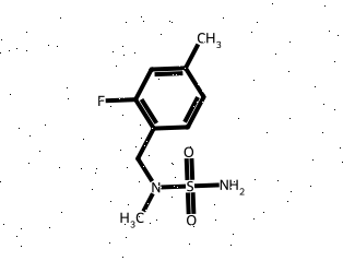 Cc1ccc(CN(C)S(N)(=O)=O)c(F)c1